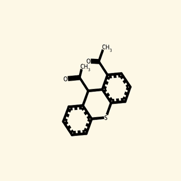 CC(=O)c1cccc2c1C(C(C)=O)c1ccccc1S2